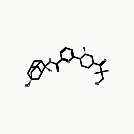 C[C@@H]1CN(C(=O)C(C)(C)CO)CCN1c1cccc(C(=O)N[C@H]2C3CC4CC2C[C@](O)(C4)C3)n1